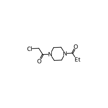 CCC(=O)N1CCN(C(=O)CCl)CC1